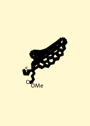 COC(=O)CCCC1(c2cccs2)C2c3cc4c5c6c3c3c7c8c9c%10c(cc%11c%12c%13c(cc%14c%15c(c%16c6c3c9c(c%12%10)c%16c%15%13)C5C(C=4)C%14)C%11)CC8=CC721